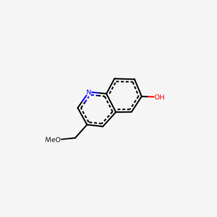 COCc1cnc2ccc(O)cc2c1